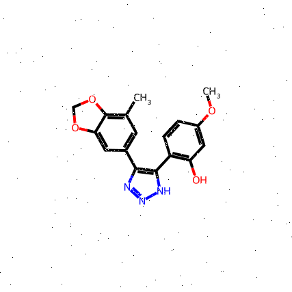 COc1ccc(-c2[nH]nnc2-c2cc(C)c3c(c2)OCO3)c(O)c1